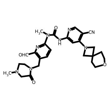 CN1CCN(Cc2ccc(N(C)C(=O)Nc3cc(N4CC5(CCOCC5)C4)c(C#N)cn3)nc2C=O)C(=O)C1